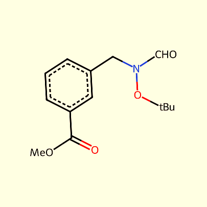 COC(=O)c1cccc(CN(C=O)OC(C)(C)C)c1